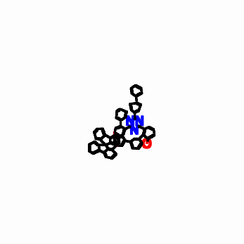 c1ccc(-c2ccc(-c3nc(-c4ccccc4-c4ccccc4)nc(-c4cccc5oc6ccc(-c7cccc(-c8cccc9c8C8(c%10ccccc%10-c%10ccccc%108)c8ccccc8-9)c7)cc6c45)n3)cc2)cc1